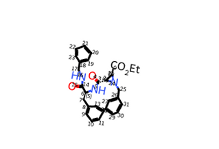 CCOC(=O)[C@@H]1[C@@H](C(=O)N[C@@H](Cc2ccccc2)C(=O)NCc2ccccc2)N1Cc1ccccc1